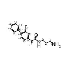 CC(C(=O)NCCCN)c1ccc(-c2ccccc2)c(F)c1